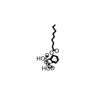 CCCCCCCCC(=O)Oc1cccc(S(=O)(=O)O)c1S(=O)(=O)O